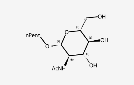 [CH2]CCCCO[C@@H]1O[C@H](CO)[C@@H](O)[C@H](O)[C@H]1NC(C)=O